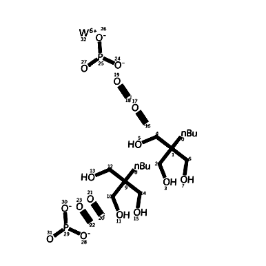 CCCCC(CO)(CO)CO.CCCCC(CO)(CO)CO.[C]=O.[C]=O.[C]=O.[C]=O.[O-]P([O-])[O-].[O-]P([O-])[O-].[W+6]